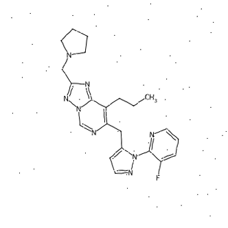 CCCc1c(Cc2ccnn2-c2ncccc2F)ncn2nc(CN3CCCC3)nc12